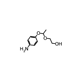 CC(OCCO)Oc1ccc(N)cc1